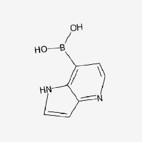 OB(O)c1ccnc2cc[nH]c12